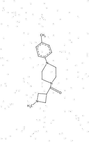 Cc1ccc(N2CCN(C(=O)C3CN(C)C3)CC2)cc1